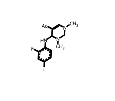 CC(=O)C1=CN(C)CN(C)C1Nc1ccc(I)cc1F